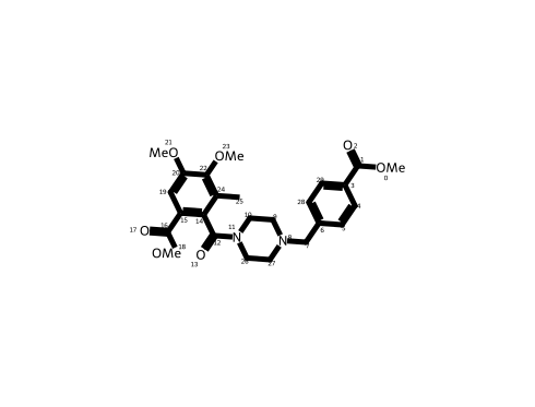 COC(=O)c1ccc(CN2CCN(C(=O)c3c(C(=O)OC)cc(OC)c(OC)c3C)CC2)cc1